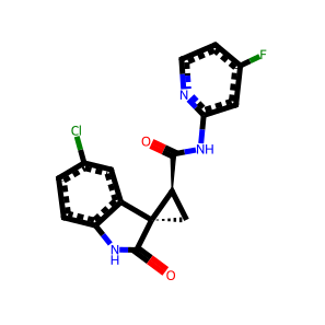 O=C(Nc1cc(F)ccn1)[C@H]1C[C@@]12C(=O)Nc1ccc(Cl)cc12